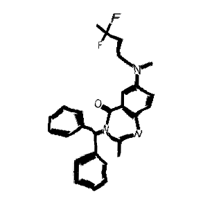 Cc1nc2ccc(N(C)CCC(C)(F)F)cc2c(=O)n1C(c1ccccc1)c1ccccc1